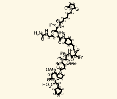 CC[C@H](C)C([C@@H](CC(=O)N1CCC[C@H]1[C@H](OC)[C@@H](C)C(=O)N[C@@H](Cc1ccccc1)C(=O)O)OC)N(C)C(=O)[C@@H](NC(=O)C(C(C)C)N(C)CCc1ccc(N(C)C(=O)[C@H](CCCNC(N)=O)NC(=O)[C@@H](NC(=O)CCCCCN2C(=O)C=CC2=O)C(C)C)cc1)C(C)C